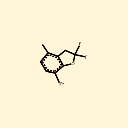 Cc1ccc(C(C)C)c2c1CC(F)(F)O2